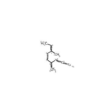 C=C(/C=C\C(C)=C/C)N=C=O